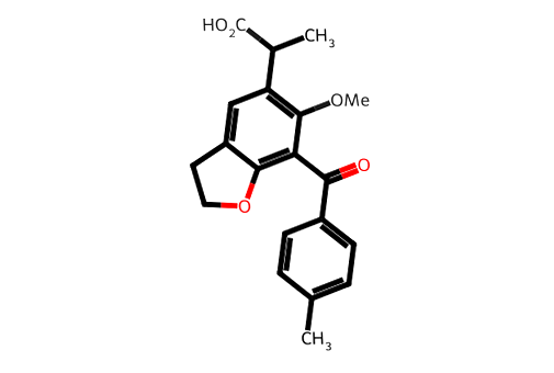 COc1c(C(C)C(=O)O)cc2c(c1C(=O)c1ccc(C)cc1)OCC2